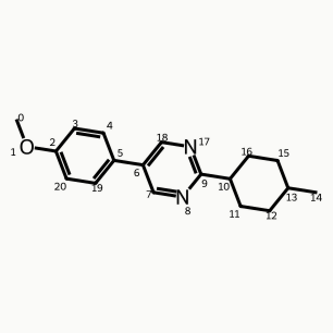 COc1ccc(-c2cnc(C3CCC(C)CC3)nc2)cc1